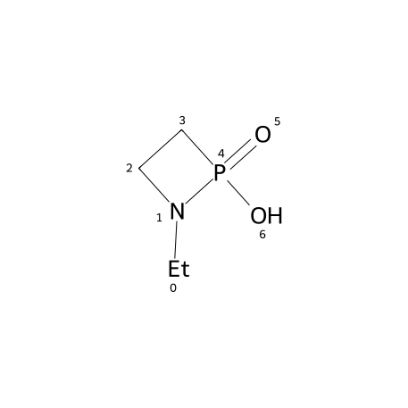 CCN1CCP1(=O)O